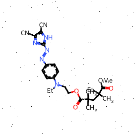 [C-]#[N+]c1nc(/N=N/c2ccc(N(CC)CCOC(=O)C(C)(C)CC(C)(CC)C(=O)OC)cc2)[nH]c1C#N